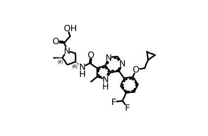 Cc1[nH]c2c(-c3cc(C(F)F)ccc3OCC3CC3)ncnc2c1C(=O)N[C@@H]1C[C@@H](C)N(C(=O)CO)C1